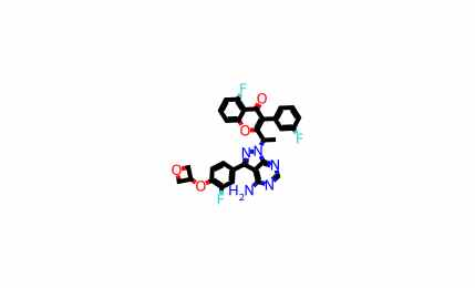 CC(c1oc2cccc(F)c2c(=O)c1-c1cccc(F)c1)n1nc(-c2ccc(OC3COC3)c(F)c2)c2c(N)ncnc21